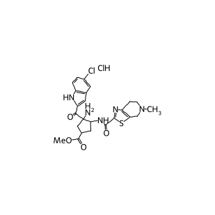 COC(=O)C1CC(NC(=O)c2nc3c(s2)CN(C)CC3)C(N)(C(=O)c2cc3cc(Cl)ccc3[nH]2)C1.Cl